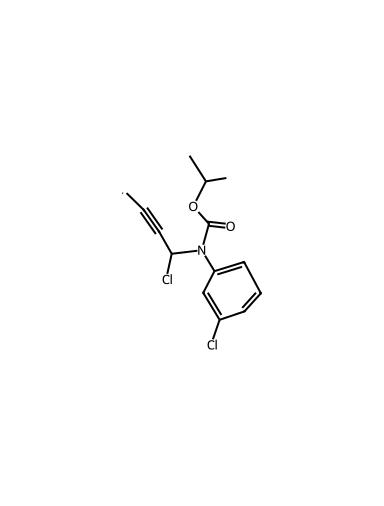 [CH2]C#CC(Cl)N(C(=O)OC(C)C)c1cccc(Cl)c1